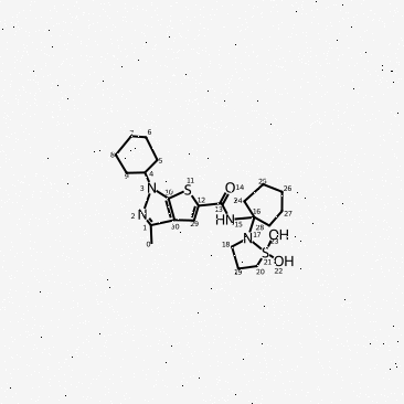 Cc1nn(C2CCCCC2)c2sc(C(=O)NC3(N4CCCS4(O)O)CCCCC3)cc12